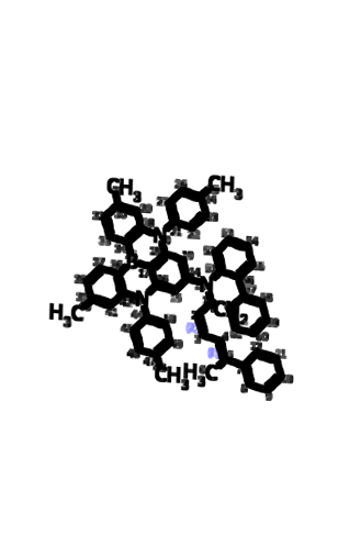 C=C(/C=C\C=C(/C)c1ccccc1)N(c1cc2c3c(c1)N(c1ccc(C)cc1)c1cc(C)ccc1B3c1ccc(C)cc1N2c1ccc(C)cc1)c1ccccc1-c1ccccc1